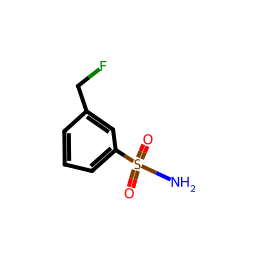 NS(=O)(=O)c1cccc(CF)c1